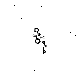 Cl.O=C(NC1CCCC1)c1cccc([C@@H]2C[C@H]2NCC2CC2)c1